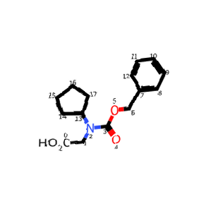 O=C(O)CN(C(=O)OCc1ccccc1)C1CCCC1